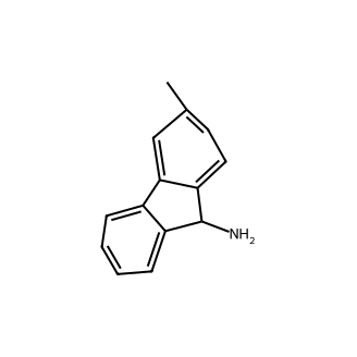 Cc1ccc2c(c1)-c1ccccc1C2N